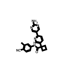 Cc1cc(NC(=O)C2(c3ccc(-c4cnc(N)nc4)nc3)CCC2)ccc1C#N